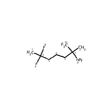 CCCC(C)(CCCC(C)(F)F)C(F)(F)F